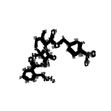 CC1=C(C(=O)OCc2ccc([N+](=O)[O-])cc2)N2C(=O)C(NC(=O)c3ccccc3CN)[C@@H]2SC1